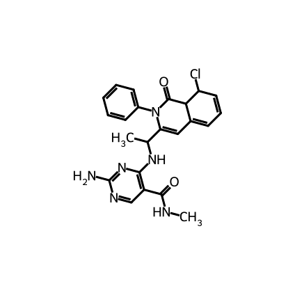 CNC(=O)c1cnc(N)nc1NC(C)C1=CC2=CC=CC(Cl)C2C(=O)N1c1ccccc1